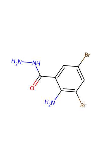 NNC(=O)c1cc(Br)cc(Br)c1N